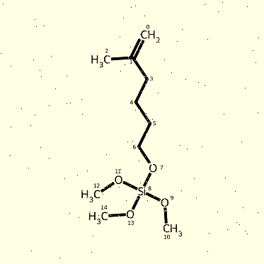 C=C(C)CCCCO[Si](OC)(OC)OC